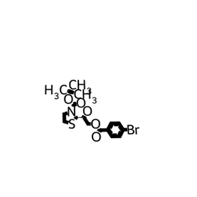 CC(C)(C)OC(=O)N1CCS[C@H]1C(=O)COC(=O)c1ccc(Br)cc1